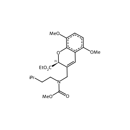 CCOC(=O)[C@H]1Oc2c(OC)ccc(OC)c2C=C1CN(CCC(C)C)C(=O)OC